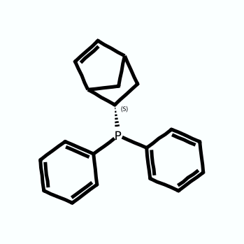 C1=CC2CC1C[C@@H]2P(c1ccccc1)c1ccccc1